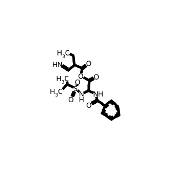 CCC(C=N)C(=O)OC(=O)C(NC(=O)c1ccccc1)NS(=O)(=O)C(C)C